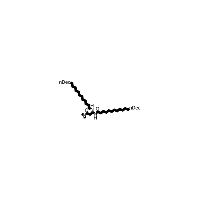 CCCCCCCCCCCCCCCCCCCCCC(=O)NC(CCN(C)C)NC(=O)CCCCCCCCCCCCCCCCCCCCC